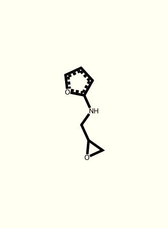 c1coc(NCC2CO2)c1